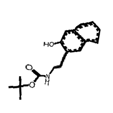 CC(C)(C)OC(=O)NCCc1cc2ccccc2cc1O